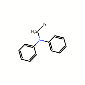 CC[SiH2]N(c1ccccc1)c1ccccc1